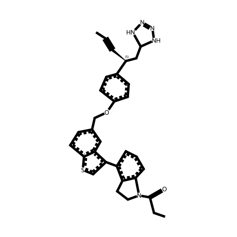 CC#C[C@@H](CC1NN=NN1)c1ccc(OCc2ccc3scc(-c4cccc5c4CCN5C(=O)CC)c3c2)cc1